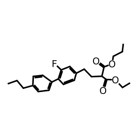 CCCOC(=O)C(CCc1ccc(-c2ccc(CCC)cc2)c(F)c1)C(=O)OCC